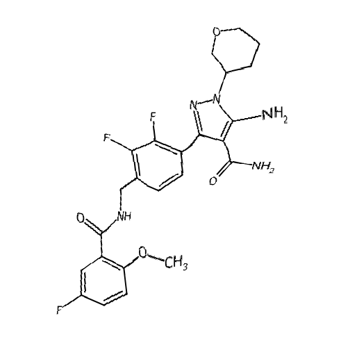 COc1ccc(F)cc1C(=O)NCc1ccc(-c2nn(C3CCCOC3)c(N)c2C(N)=O)c(F)c1F